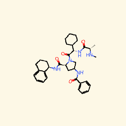 CN[C@@H](C)C(=O)N[C@H](C(=O)N1C[C@@H](NC(=O)c2ccccc2)C[C@H]1C(=O)N[C@@H]1CCCc2ccccc21)C1CCCCC1